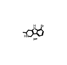 CC1Cc2[nH]c3c(Br)cccc3c2CN1.CI